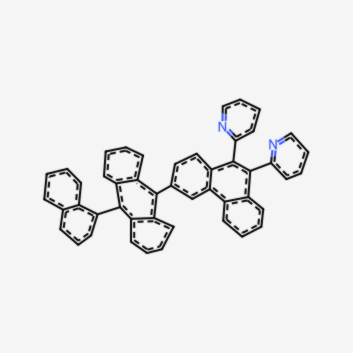 c1ccc(-c2c(-c3ccccn3)c3ccc(-c4c5ccccc5c(-c5cccc6ccccc56)c5ccccc45)cc3c3ccccc23)nc1